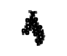 COC(=O)c1ccc(N2C(=O)N(CCN(C)C)C(=O)C23CCN(C(=O)[C@H](NC(=O)c2cc(C(F)(F)F)ccc2F)C(C)C)CC3)cc1